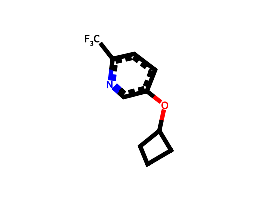 FC(F)(F)c1ccc(OC2CCC2)cn1